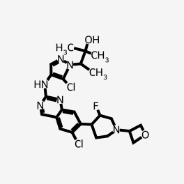 CC(n1ncc(Nc2ncc3cc(Cl)c(C4CCN(C5COC5)CC4F)cc3n2)c1Cl)C(C)(C)O